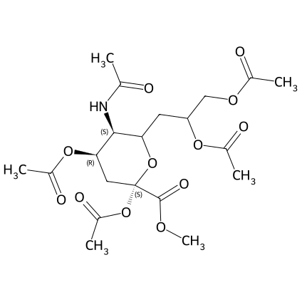 COC(=O)[C@@]1(OC(C)=O)C[C@@H](OC(C)=O)[C@@H](NC(C)=O)C(CC(COC(C)=O)OC(C)=O)O1